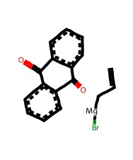 C=C[CH2][Mg][Br].O=C1c2ccccc2C(=O)c2ccccc21